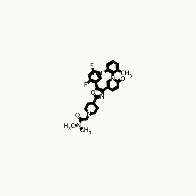 Cc1cccc(C)c1-n1cc(-c2nc(C3CCN(CC(=O)N(C)C)CC3)oc2-c2ccc(F)cc2F)ccc1=O